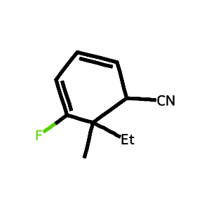 CCC1(C)C(F)=CC=CC1C#N